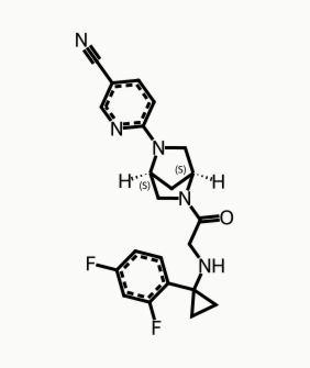 N#Cc1ccc(N2C[C@@H]3C[C@H]2CN3C(=O)CNC2(c3ccc(F)cc3F)CC2)nc1